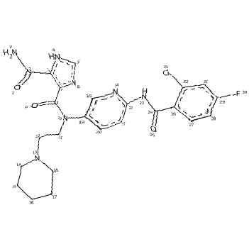 NC(=O)c1[nH]cnc1C(=O)N(CCN1CCCCC1)c1ccc(NC(=O)c2ccc(F)cc2Cl)nc1